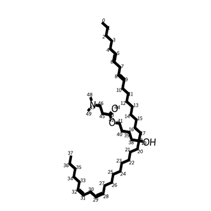 CCCCCC=CCC=CCCCCCCCCC(O)(CCCCCCCC/C=C\C/C=C\CCCCC)CCCCOC(=O)CCN(C)C